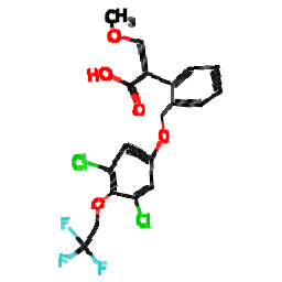 COC=C(C(=O)O)c1ccccc1COc1cc(Cl)c(OCC(F)(F)F)c(Cl)c1